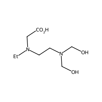 CCN(CCN(CO)CO)CC(=O)O